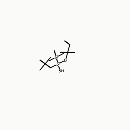 CCC(C)(C)O[Si](S)(CC(C)(C)C)[Si](C)(C)C